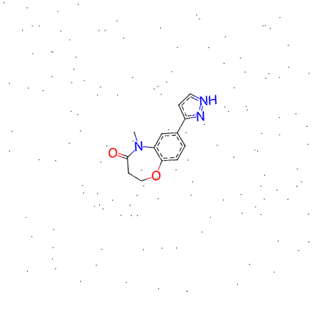 CN1C(=O)CCOc2ccc(-c3cc[nH]n3)cc21